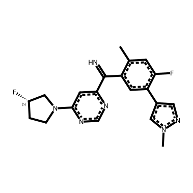 Cc1cc(F)c(-c2cnn(C)c2)cc1C(=N)c1cc(N2CC[C@H](F)C2)ncn1